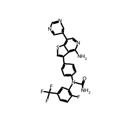 NC(=O)N(c1ccc(-c2csc3c(-c4cncnc4)cnc(N)c23)cc1)c1cc(C(F)(F)F)ccc1F